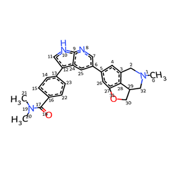 CN1Cc2cc(-c3cnc4[nH]cc(-c5ccc(C(=O)N(C)C)cc5)c4c3)cc3c2C(CO3)C1